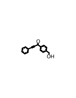 O=C(C#Cc1ccccc1)c1ccc(CO)cc1